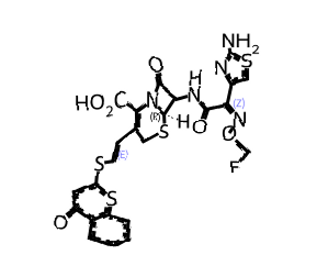 Nc1nc(/C(=N/OCF)C(=O)NC2C(=O)N3C(C(=O)O)=C(/C=C/Sc4cc(=O)c5ccccc5s4)CS[C@H]23)cs1